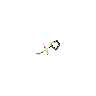 [CH2]NS(=O)(=O)c1cccs1